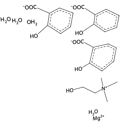 C[N+](C)(C)CCO.O.O.O.O.O=C([O-])c1ccccc1O.O=C([O-])c1ccccc1O.O=C([O-])c1ccccc1O.[Mg+2]